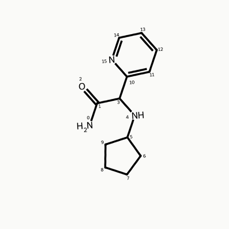 NC(=O)C(NC1CCCC1)c1ccccn1